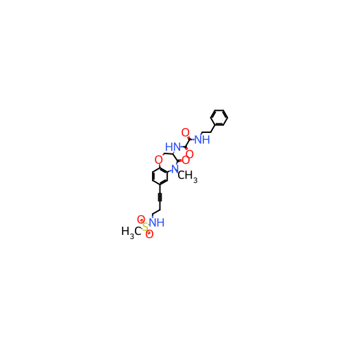 CN1C(=O)[C@@H](NC(=O)C(=O)NCCc2ccccc2)COc2ccc(C#CCCNS(C)(=O)=O)cc21